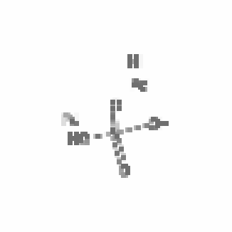 I.O=S(=O)(O)O.[Pd].[Pd]